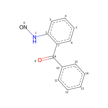 O=NNc1ccccc1C(=O)c1ccccc1